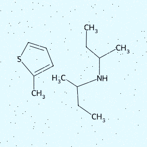 CCC(C)NC(C)CC.Cc1cccs1